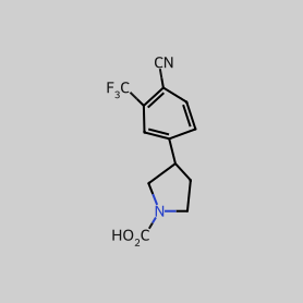 N#Cc1ccc(C2CCN(C(=O)O)C2)cc1C(F)(F)F